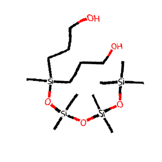 C[Si](C)(C)O[Si](C)(C)O[Si](C)(C)O[Si](C)(CCCO)CCCO